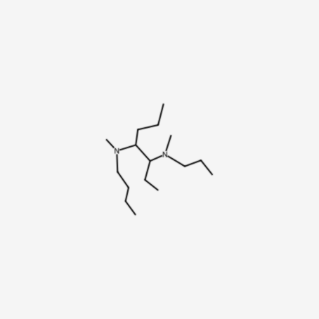 CCCCN(C)C(CCC)C(CC)N(C)CCC